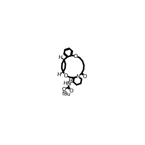 CC(C)(C)OC(=O)N[C@H]1CCCN2C(=O)CCCCOc3ccccc3[C@H]3CC[C@H](CC3)OC[C@@H]12